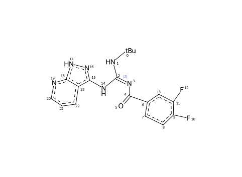 CC(C)(C)N/C(=N/C(=O)c1ccc(F)c(F)c1)Nc1n[nH]c2ncccc12